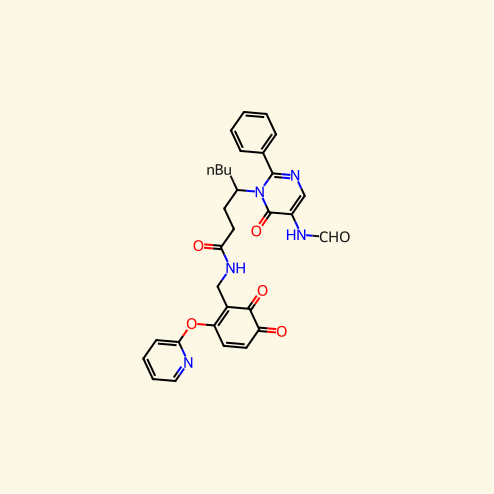 CCCCC(CCC(=O)NCC1=C(Oc2ccccn2)C=CC(=O)C1=O)n1c(-c2ccccc2)ncc(NC=O)c1=O